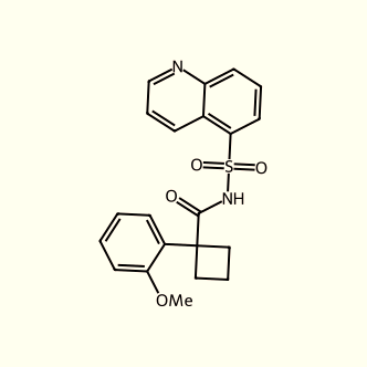 COc1ccccc1C1(C(=O)NS(=O)(=O)c2cccc3ncccc23)CCC1